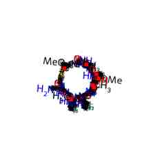 COc1ccc(C[C@@H]2NC(=O)[C@H]([C@@H](C)O)NC(=O)[C@@H]3CCCN3C(=O)[C@H](Cc3c[nH]c4ccc(F)cc34)NC(=O)[C@H](Cc3c[nH]c4ccc(F)cc34)NC(=O)[C@@H](C)NC(=O)[C@H](CCCCN)NC(=O)CCSCc3cc(cc(OC)c3)CSC[C@@H](C(N)=O)NC(=O)[C@]3(C)CCCN3C2=O)cc1